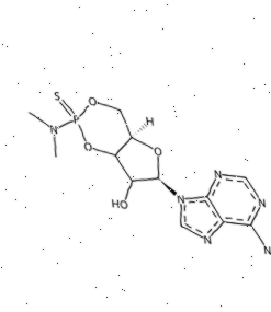 CN(C)P1(=S)OC[C@H]2O[C@@H](n3cnc4c(N)ncnc43)C(O)C2O1